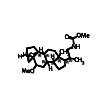 COC(=O)NC[C@@H](C)[C@H]1CC[C@H]2[C@@H]3CC(OC)C45C[C@H]4CC[C@]5(C)[C@H]3CC[C@]12C